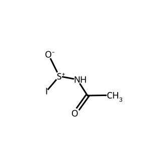 CC(=O)N[S+]([O-])I